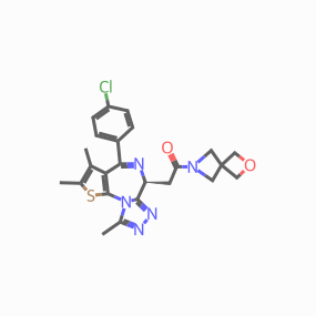 Cc1sc2c(c1C)C(c1ccc(Cl)cc1)=N[C@@H](CC(=O)N1CC3(COC3)C1)c1nnc(C)n1-2